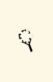 O=c1nnss1